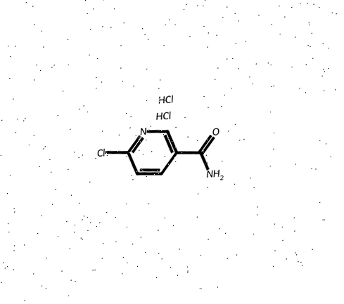 Cl.Cl.NC(=O)c1ccc(Cl)nc1